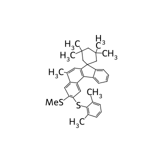 CSc1cc2c(C)cc3c(c2cc1Sc1c(C)cccc1C)-c1ccccc1C31CC(C)(C)CC(C)(C)C1